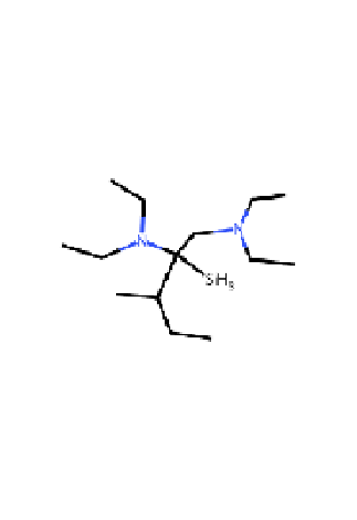 CCC(C)C([SiH3])(CN(CC)CC)N(CC)CC